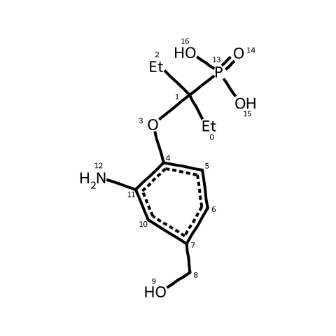 CCC(CC)(Oc1ccc(CO)cc1N)P(=O)(O)O